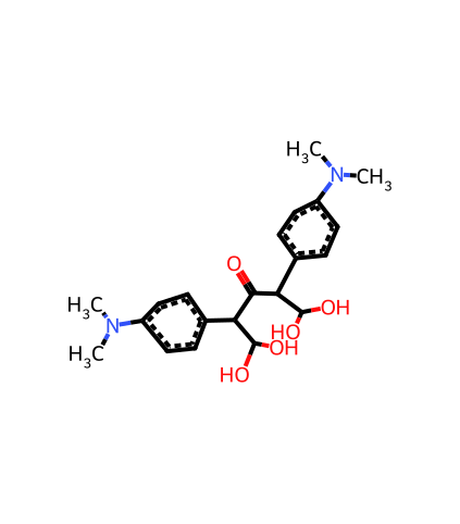 CN(C)c1ccc(C(C(=O)C(c2ccc(N(C)C)cc2)C(O)O)C(O)O)cc1